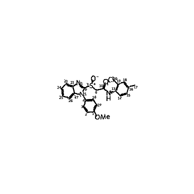 COc1ccc(-n2c([S+]([O-])CC(=O)Nc3ccc(C)cc3Cl)nc3ccccc32)cc1